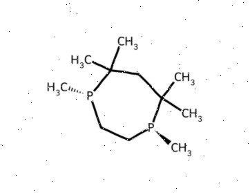 C[P@@]1CC[P@](C)C(C)(C)CC1(C)C